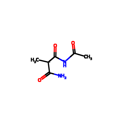 C[C](C(N)=O)C(=O)NC(C)=O